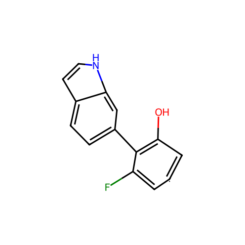 Oc1c[c]cc(F)c1-c1ccc2cc[nH]c2c1